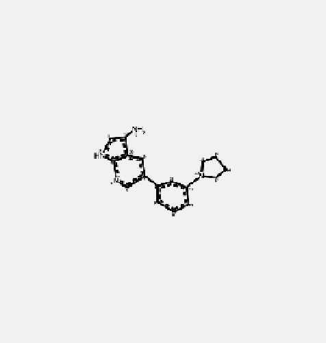 Nc1c[nH]c2ncc(-c3cccc(N4CCCC4)c3)cc12